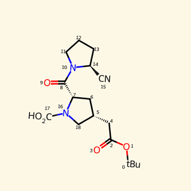 CC(C)(C)OC(=O)C[C@H]1C[C@@H](C(=O)N2CCC[C@H]2C#N)N(C(=O)O)C1